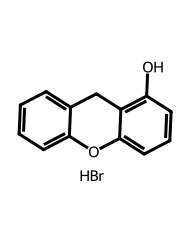 Br.Oc1cccc2c1Cc1ccccc1O2